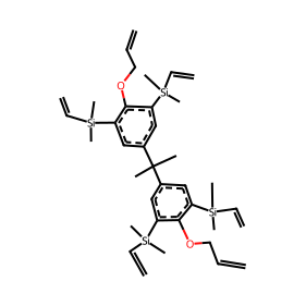 C=CCOc1c([Si](C)(C)C=C)cc(C(C)(C)c2cc([Si](C)(C)C=C)c(OCC=C)c([Si](C)(C)C=C)c2)cc1[Si](C)(C)C=C